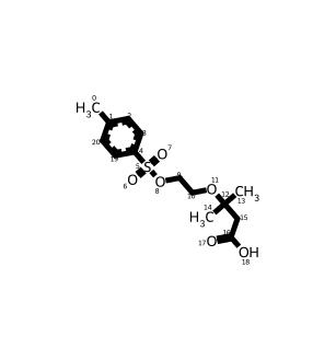 Cc1ccc(S(=O)(=O)OCCOC(C)(C)CC(=O)O)cc1